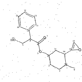 CN1CCC(OC(=O)C(CO)c2ccccc2)CC1C1=CO1